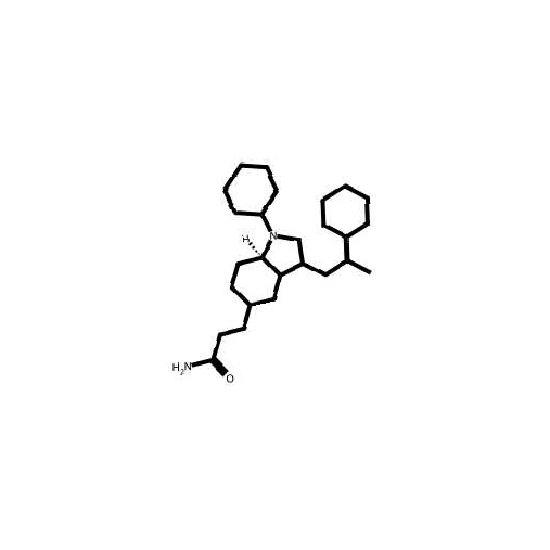 CC(CC1CN(C2CCCCC2)[C@@H]2CCC(CCC(N)=O)CC12)C1CCCCC1